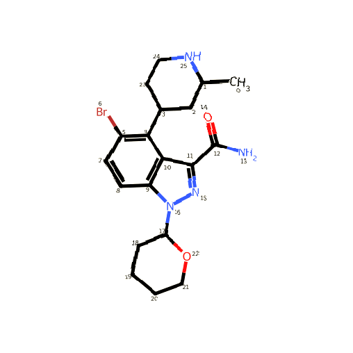 CC1CC(c2c(Br)ccc3c2c(C(N)=O)nn3C2CCCCO2)CCN1